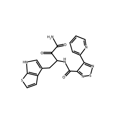 NC(=O)C(=O)C(Cc1c[nH]c2sccc12)NC(=O)c1nsnc1-c1ccccn1